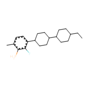 CCC1CCC(C2CCC(c3ccc(C)c(P)c3F)CC2)CC1